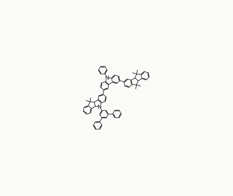 CC1(C)c2ccccc2C2C1c1cc(-c3ccc4c(c3)c3cc(-c5ccc6c(c5)C5C(c7ccccc7C5(C)C)C6(C)C)ccc3n4-c3ccccc3)ccc1N2c1cc(-c2ccccc2)cc(-c2ccccc2)c1